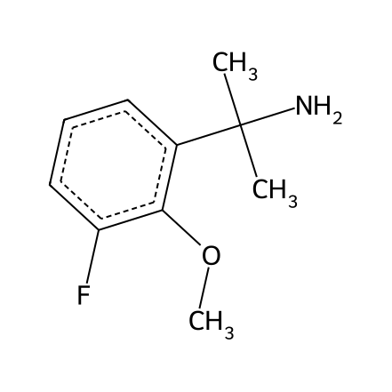 COc1c(F)cccc1C(C)(C)N